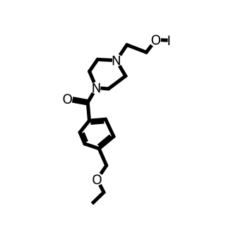 CCOCc1ccc(C(=O)N2CCN(CCOI)CC2)cc1